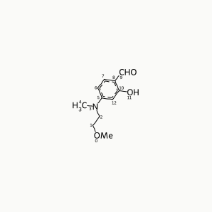 COCCN(C)c1ccc(C=O)c(O)c1